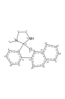 CN1CCNC1(Cl)c1ccccc1-c1ccc2ccccc2c1